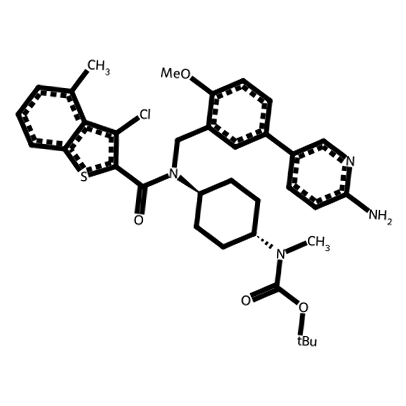 COc1ccc(-c2ccc(N)nc2)cc1CN(C(=O)c1sc2cccc(C)c2c1Cl)[C@H]1CC[C@H](N(C)C(=O)OC(C)(C)C)CC1